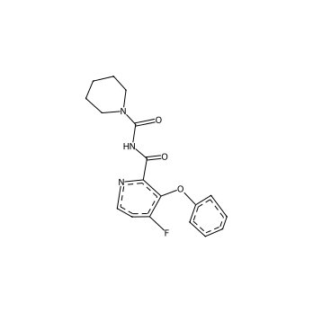 O=C(NC(=O)N1CCCCC1)c1nccc(F)c1Oc1ccccc1